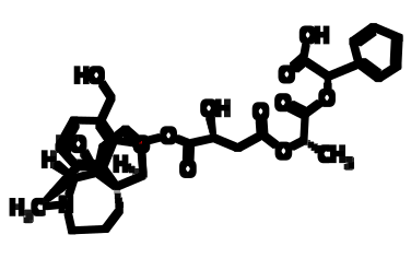 C[C@H](OC(=O)C[C@H](O)C(=O)OC1=CC[C@@]2(O)[C@H]3Cc4ccc(CO)c5c4[C@@]2(CCCN3C)[C@H]1O5)C(=O)O[C@H](C(=O)O)c1ccccc1